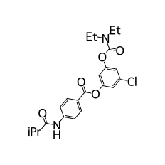 CCN(CC)C(=O)Oc1cc(Cl)cc(OC(=O)c2ccc(NC(=O)C(C)C)cc2)c1